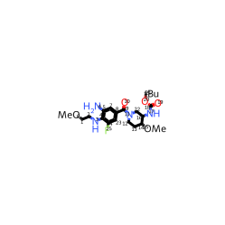 COCCNc1c(N)cc(C(=O)N2CCC(OC)C(NC(=O)OC(C)(C)C)C2)cc1F